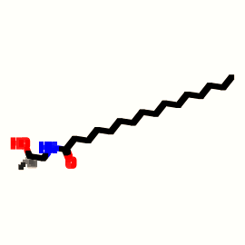 CCCCCCCCCCCCCCCC(=O)NC[C@H](C)O